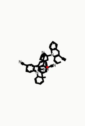 C#CC1=C(/C=C\C)N(C2=CC=CC(c3ccc(C4(C)C=CC=CC4n4c5c(c6cc(C#N)ccc64)C=C(C#N)C=CN5)cc3C#N)C2)c2ccccc2C1